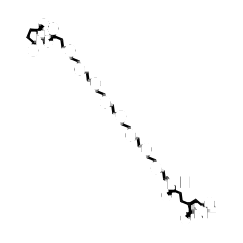 O=C1C=C(CCC(=O)NCCOCCOCCOCCOCCOCCOCCOCCOCCC(=O)ON2C(=O)CCC2=O)C(=O)N1